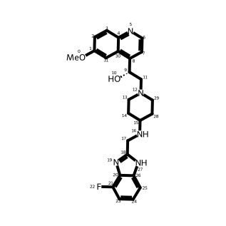 COc1ccc2nccc([C@@H](O)CN3CCC(NCc4nc5c(F)cccc5[nH]4)CC3)c2c1